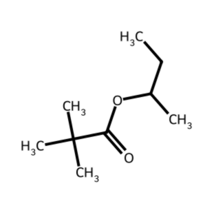 CCC(C)OC(=O)C(C)(C)C